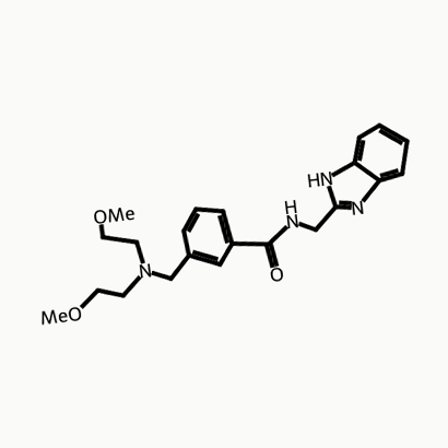 COCCN(CCOC)Cc1cccc(C(=O)NCc2nc3ccccc3[nH]2)c1